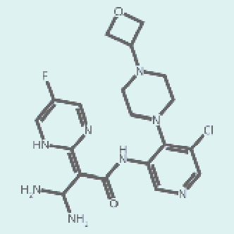 NC(N)/C(C(=O)Nc1cncc(Cl)c1N1CCN(C2COC2)CC1)=C1/N=CC(F)=CN1